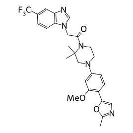 COc1cc(N2CCN(C(=O)Cn3cnc4cc(C(F)(F)F)ccc43)C(C)(C)C2)ccc1-c1cnc(C)o1